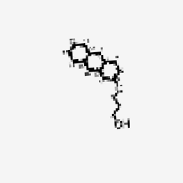 OCCCOc1ccc2cc3ccccc3cc2c1